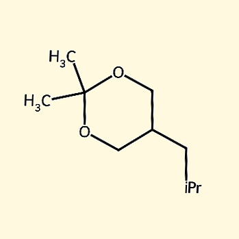 CC(C)CC1COC(C)(C)OC1